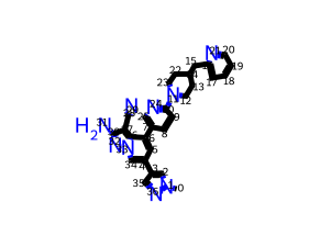 Cn1cc(-c2cc(-c3ccc(N4CCC(Cc5ccccn5)CC4)nc3)c3c(C#N)c(N)nn3c2)cn1